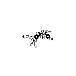 CCOC(=O)Oc1cc2occ(C(=O)NC(C(=O)O)c3ccc(O)cc3)c(=O)c2cc1OC(=O)OCC